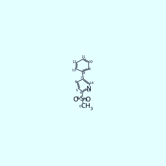 CS(=O)(=O)c1ccc(-c2cc[c]cc2)cn1